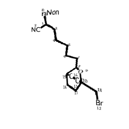 [CH2]CCCCCCCCC(C#N)CCCCC[C]1OC2(CBr)CCC1CC2